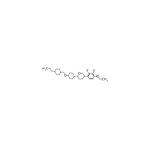 CCCC1CCC(COC2CCC(C3CCC(c4ccc(OCC)c(F)c4F)CO3)CC2)CC1